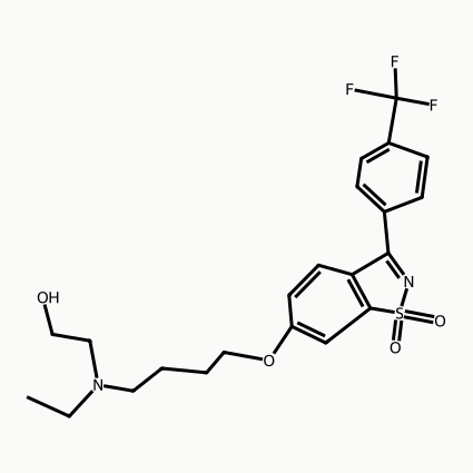 CCN(CCO)CCCCOc1ccc2c(c1)S(=O)(=O)N=C2c1ccc(C(F)(F)F)cc1